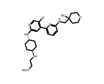 COCCN[C@H]1CC[C@H](Nc2cc(-c3cccc(NCC4(C#N)CCOCC4)n3)c(Cl)cn2)CC1